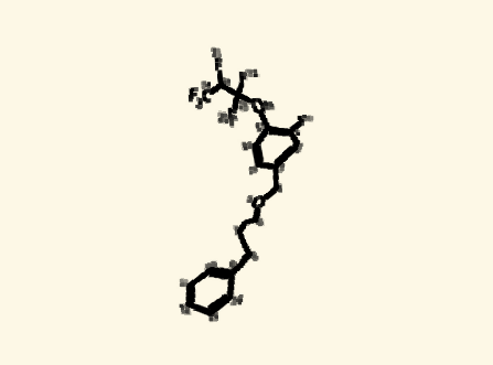 Fc1cc(COCCCc2ccccc2)ccc1OC(F)(F)C(F)C(F)(F)F